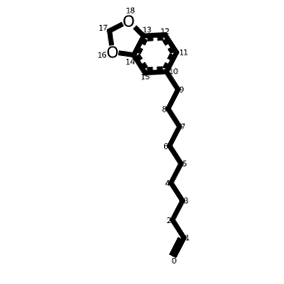 C=CCCCCCCCCc1ccc2c(c1)OCO2